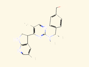 C[C@H](c1ccc(CO)cc1)N(C)c1ncc(C#N)c(C2CNc3ncc(C(F)(F)F)cc32)n1